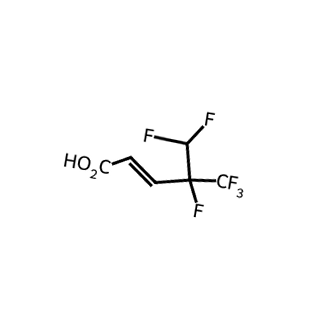 O=C(O)C=CC(F)(C(F)F)C(F)(F)F